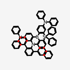 c1ccc(-c2cc3c4c(c2)[Si](c2ccccc2)(c2ccccc2)c2cc(N(c5ccccc5)c5ccccc5)ccc2B4c2ccc(N(c4ccccc4)c4ccccc4)cc2N3c2c(-c3ccccc3)cccc2-c2ccccc2)cc1